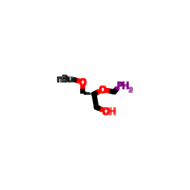 CCCCOC[C@@H](CO)OCP